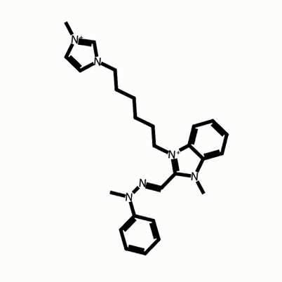 CN(N=Cc1n(C)c2ccccc2[n+]1CCCCCCn1cc[n+](C)c1)c1ccccc1